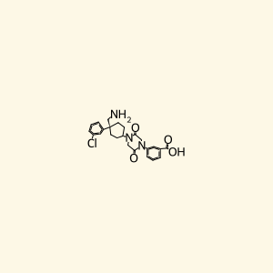 NC[C@]1(c2cccc(Cl)c2)CC[C@H](N2CC(=O)N(c3cccc(C(=O)O)c3)CC2=O)CC1